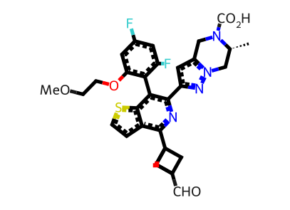 COCCOc1cc(F)cc(F)c1-c1c(-c2cc3n(n2)C[C@@H](C)N(C(=O)O)C3)nc(C23CC(C=O)(C2)C3)c2ccsc12